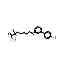 O=C(O)C(Cl)(Cl)CCCCCSc1cccc(-c2ccc(Cl)cc2)c1